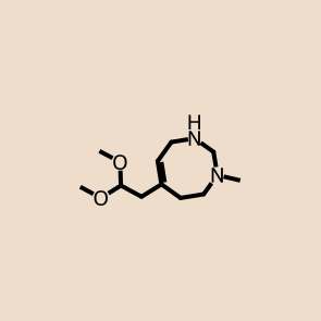 COC(C/C1=C/CNCN(C)CC1)OC